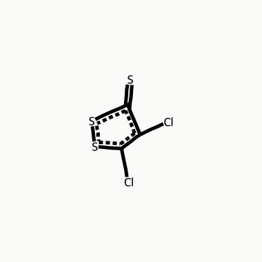 S=c1ssc(Cl)c1Cl